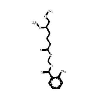 CC(=O)Oc1ccccc1C(=O)OCOC(=O)CCCC(CO[N+](=O)[O-])O[N+](=O)[O-]